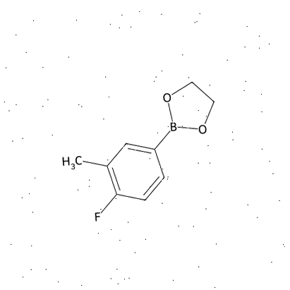 Cc1cc(B2OCCO2)ccc1F